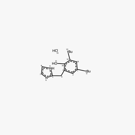 CC(C)(C)c1cc(Cc2ncc[nH]2)c(O)c(C(C)(C)C)c1.Cl